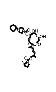 C/C(=C\C=C\C(C)COC(=O)N1CCC[C@@H]1C)[C@H]1OC(=O)C[C@@H](O)CC[C@](C)(O)[C@@H](OC(=O)N2CCN(C3CCCCCC3)CC2)/C=C/[C@@H]1C